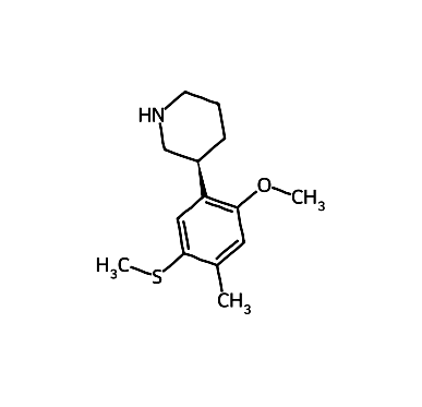 COc1cc(C)c(SC)cc1[C@@H]1CCCNC1